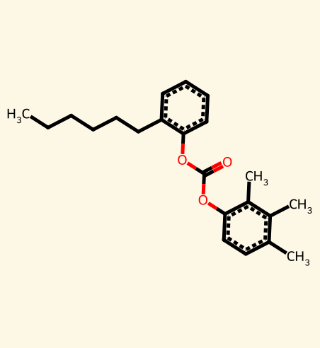 CCCCCCc1ccccc1OC(=O)Oc1ccc(C)c(C)c1C